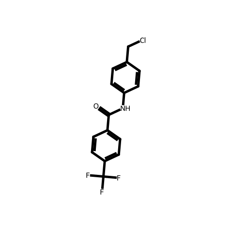 O=C(Nc1ccc(CCl)cc1)c1ccc(C(F)(F)F)cc1